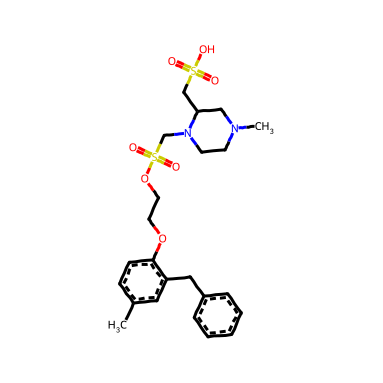 Cc1ccc(OCCOS(=O)(=O)CN2CCN(C)CC2CS(=O)(=O)O)c(Cc2ccccc2)c1